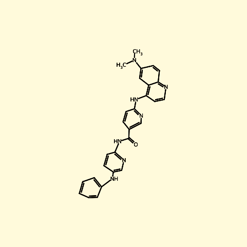 CN(C)c1ccc2nccc(Nc3ccc(C(=O)Nc4ccc(Nc5ccccc5)cn4)cn3)c2c1